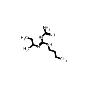 CCCCNC(=NC(C)CC)NC(=N)N